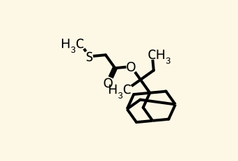 CCC(C)(OC(=O)CSC)C12CC3CC(CC(C3)C1)C2